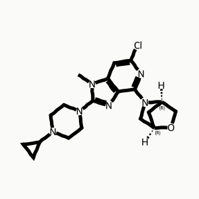 Cn1c(N2CCN(C3CC3)CC2)nc2c(N3C[C@H]4C[C@@H]3CO4)nc(Cl)cc21